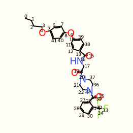 CCCCOc1ccc(Oc2ccc(C(=O)NCC(=O)N3CCN(C(=O)c4ccccc4C(F)(F)F)CC3)cc2)cc1